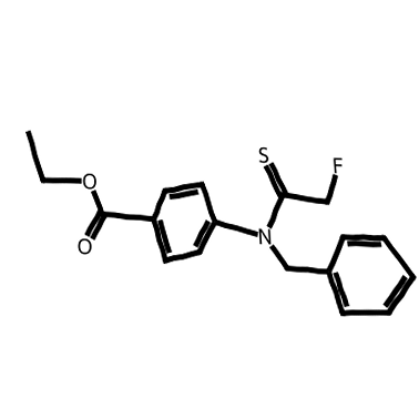 CCOC(=O)c1ccc(N(Cc2ccccc2)C(=S)CF)cc1